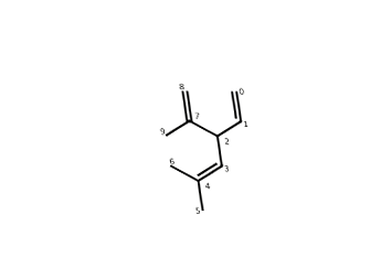 C=CC(C=C(C)C)C(=C)C